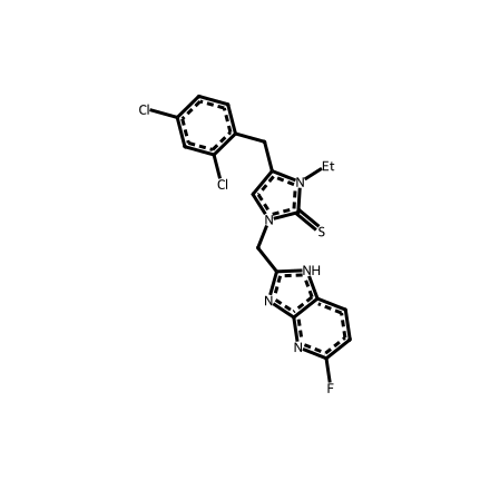 CCn1c(Cc2ccc(Cl)cc2Cl)cn(Cc2nc3nc(F)ccc3[nH]2)c1=S